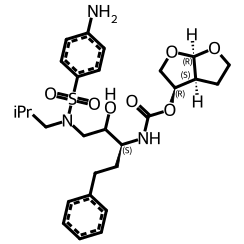 CC(C)CN(CC(O)[C@H](CCc1ccccc1)NC(=O)O[C@H]1CO[C@H]2OCC[C@H]21)S(=O)(=O)c1ccc(N)cc1